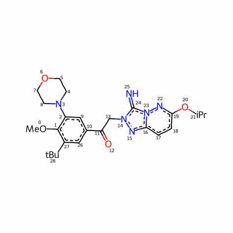 COc1c(N2CCOCC2)cc(C(=O)Cn2nc3ccc(OC(C)C)nn3c2=N)cc1C(C)(C)C